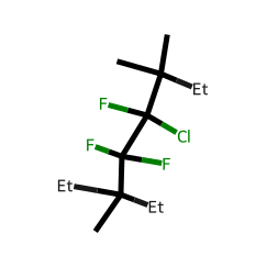 CCC(C)(C)C(F)(Cl)C(F)(F)C(C)(CC)CC